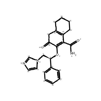 NC(=O)C1=C(O[C@H](Cn2ccnc2)c2ccccc2)C(=O)CC2=C1CCCC2